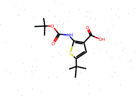 CC(C)(C)OC(=O)Nc1sc(C(C)(C)C)cc1C(=O)O